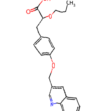 CCCOC(Cc1ccc(OCc2cnc3ccccc3c2)cc1)C(=O)O